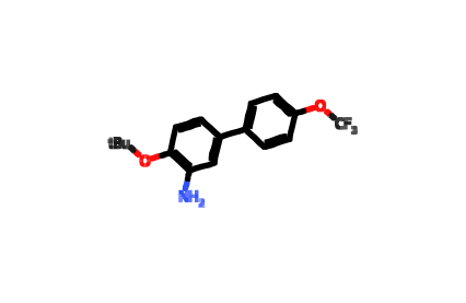 CC(C)(C)Oc1ccc(-c2ccc(OC(F)(F)F)cc2)cc1N